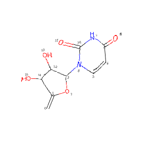 C=C1OC(n2ccc(=O)[nH]c2=O)C(O)C1O